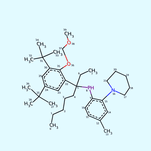 CCCCCC(CC)(Pc1ccc(C)cc1N1CCCCC1)c1cc(C(C)(C)C)cc(C(C)(C)C)c1OCOC